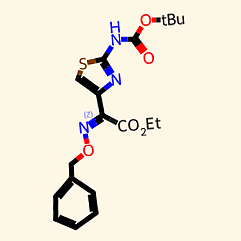 CCOC(=O)/C(=N\OCc1ccccc1)c1csc(NC(=O)OC(C)(C)C)n1